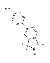 C=C1N(C)c2ccc(-c3ccc(SC)cc3)cc2C1(C)C